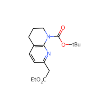 CCOC(=O)Cc1ccc2c(n1)N(C(=O)OC(C)(C)C)CCC2